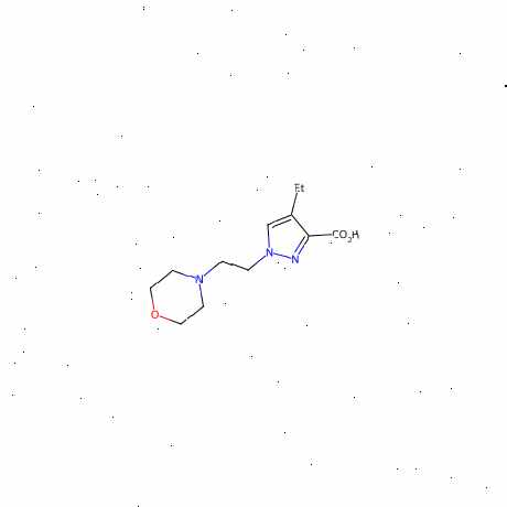 CCc1cn(CCN2CCOCC2)nc1C(=O)O